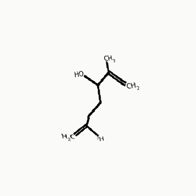 [2H]C(=C)CCC(O)C(=C)C